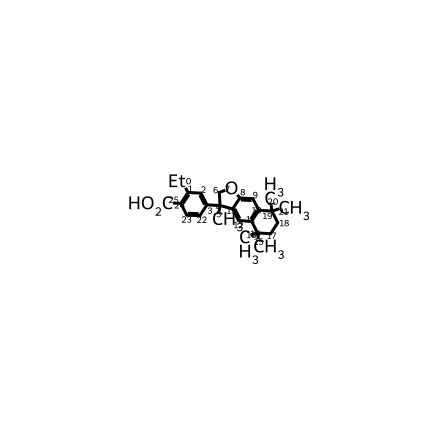 CCc1cc(C2(C)COc3cc4c(cc32)C(C)(C)CCC4(C)C)ccc1C(=O)O